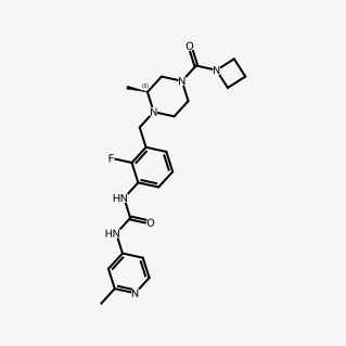 Cc1cc(NC(=O)Nc2cccc(CN3CCN(C(=O)N4CCC4)C[C@@H]3C)c2F)ccn1